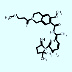 C=C(/C=C\C=C(/C)NC(=O)c1cc2c(cc1OC)CCN(C(=O)CCOC)C2)C(=N)N1C(=N)CCC1(C)C